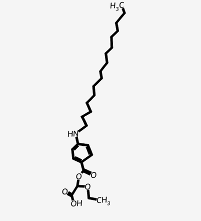 CCCCCCCCCCCCCCCCNc1ccc(C(=O)OC(OCC)C(=O)O)cc1